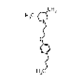 CCCCc1ccc(OCCCN2C[C@H](C)C[C@@H](C)C2)cc1